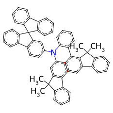 CC1(C)c2ccccc2-c2ccc(N(c3ccc4c(c3)C3(c5ccccc5-c5ccccc53)c3ccccc3-4)c3ccccc3-c3cccc4c3C(C)(C)c3ccccc3-4)cc21